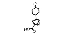 O=C1CCC(c2cnc(C(=O)O)s2)CC1